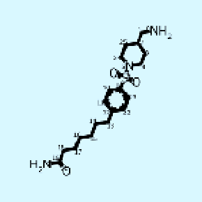 NCC1CCN(S(=O)(=O)c2ccc(CCCCCCC(N)=O)cc2)CC1